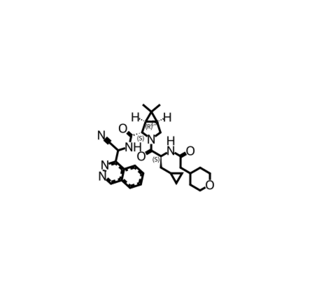 CC1(C)[C@@H]2[C@@H](C(=O)NC(C#N)c3nncc4ccccc34)N(C(=O)[C@H](CC3CC3)NC(=O)CC3CCOCC3)C[C@@H]21